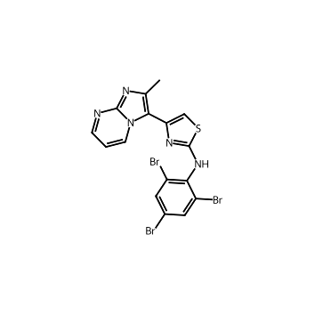 Cc1nc2ncccn2c1-c1csc(Nc2c(Br)cc(Br)cc2Br)n1